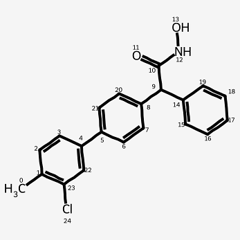 Cc1ccc(-c2ccc(C(C(=O)NO)c3ccccc3)cc2)cc1Cl